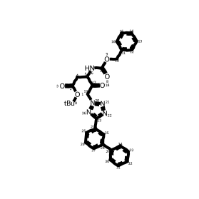 CC(C)(C)OC(=O)CC(NC(=O)OCc1ccccc1)C(=O)Cn1nnc(-c2cccc(-c3ccccc3)c2)n1